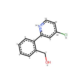 OCc1cc[c]cc1-c1cc(Cl)ccn1